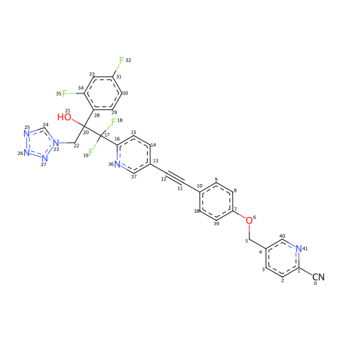 N#Cc1ccc(COc2ccc(C#Cc3ccc(C(F)(F)C(O)(Cn4cnnn4)c4ccc(F)cc4F)nc3)cc2)cn1